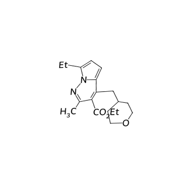 CCOC(=O)c1c(C)nn2c(CC)ccc2c1CC1CCOCC1